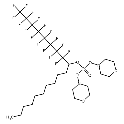 CCCCCCCCCCC(OP(=O)(ON1CCOCC1)ON1CCOCC1)C(F)(F)C(F)(F)C(F)(F)C(F)(F)C(F)(F)C(F)(F)C(F)(F)C(F)(F)F